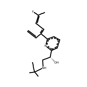 C=C/C(=C\C=C(/C)F)c1cccc([C@H](O)CNC(C)(C)C)n1